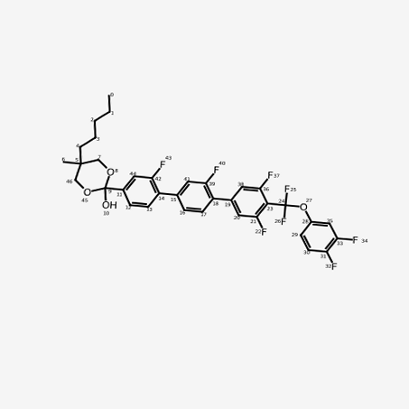 CCCCCC1(C)COC(O)(c2ccc(-c3ccc(-c4cc(F)c(C(F)(F)Oc5ccc(F)c(F)c5)c(F)c4)c(F)c3)c(F)c2)OC1